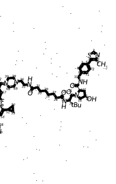 Cc1ncsc1-c1ccc(CNC(=O)[C@@H]2C[C@@H](O)CN2C(=O)[C@@H](NC(=O)CCCCCCC(=O)NCCN2CCN(C(=O)c3ccc(Nc4nc(C5CC5)cn5c(-c6cn[nH]c6)cnc45)c(F)c3)CC2)C(C)(C)C)cc1